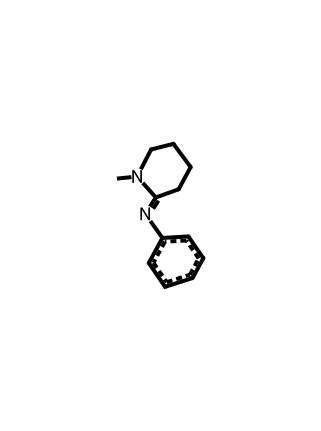 CN1CCCC/C1=N\c1ccccc1